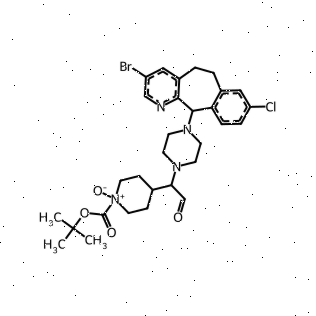 CC(C)(C)OC(=O)[N+]1([O-])CCC(C(C=O)N2CCN(C3c4ccc(Cl)cc4CCc4cc(Br)cnc43)CC2)CC1